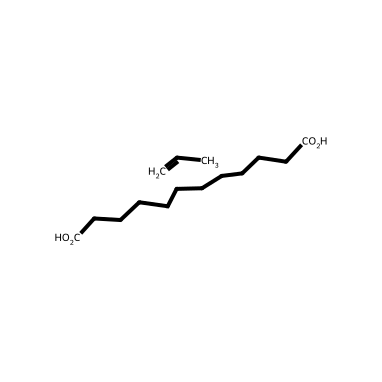 C=CC.O=C(O)CCCCCCCCCCC(=O)O